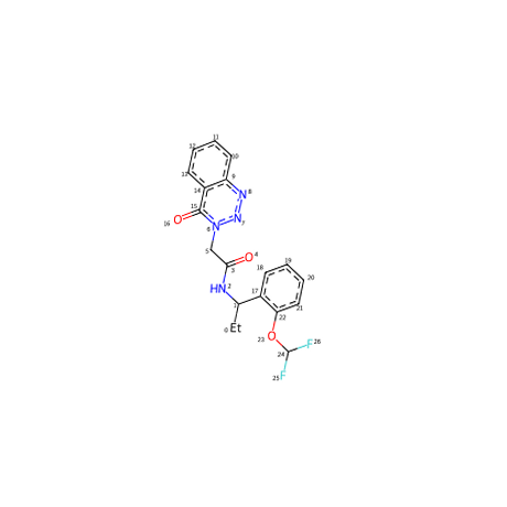 CCC(NC(=O)Cn1nnc2ccccc2c1=O)c1ccccc1OC(F)F